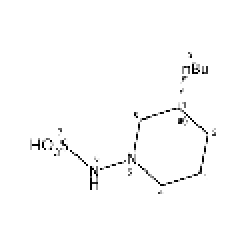 CCCC[C@@H]1CCCN(NS(=O)(=O)O)C1